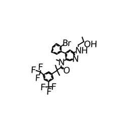 CC(O)CNc1cc(-c2ccccc2Br)c(N(C)C(=O)C(C)(C)c2cc(C(F)(F)F)cc(C(F)(F)F)c2)cn1